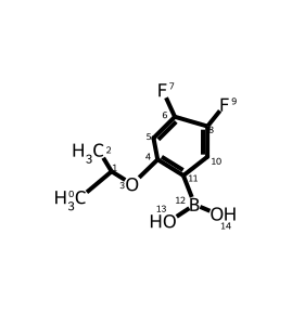 CC(C)Oc1cc(F)c(F)cc1B(O)O